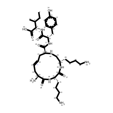 CCC(C)[C@H](NC(=O)[C@H](Cc1ccc(O)cc1)NC(=O)[C@@H]1C/C=C/C[C@H](N)C(=O)N[C@@H](CCCCN)C(=O)N[C@@H](CCCCN)CN1)C(=O)O